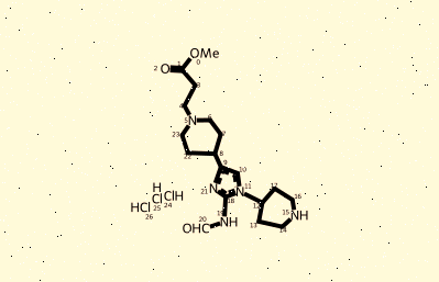 COC(=O)CCN1CCC(c2cn(C3CCNCC3)c(NC=O)n2)CC1.Cl.Cl.Cl